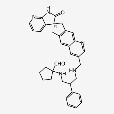 O=CC1(NCC(CNCc2cnc3cc4c(cc3c2)C[C@@]2(C4)C(=O)Nc3ncccc32)c2ccccc2)CCCC1